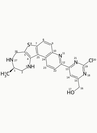 C[C@@H]1CNc2c(sc3ccc4nc(-c5cc(CO)nc(Cl)n5)ccc4c23)CN1